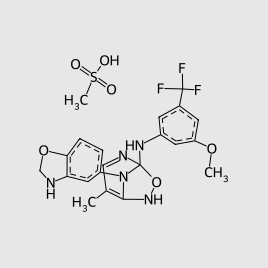 COc1cc(NC23N=CC(C)=C(NO2)N3c2ccc3c(c2)NCO3)cc(C(F)(F)F)c1.CS(=O)(=O)O